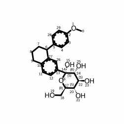 COc1ccc(C2CCCc3ccc([C@]4(O)O[C@H](CO)[C@@H](O)[C@H](O)[C@H]4O)cc32)cc1